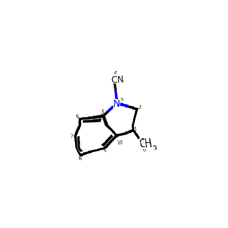 CC1CN(C#N)c2ccccc21